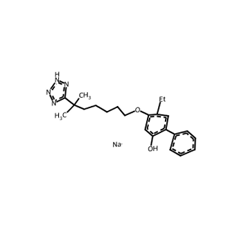 CCc1cc(-c2ccccc2)c(O)cc1OCCCCCC(C)(C)c1nn[nH]n1.[Na]